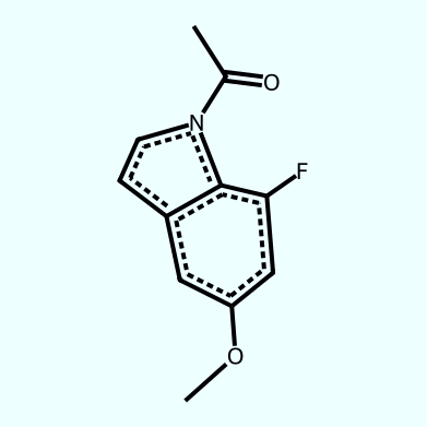 COc1cc(F)c2c(ccn2C(C)=O)c1